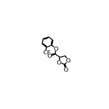 O=C1OCC(C(=O)Oc2ccccc2C(F)(F)F)O1